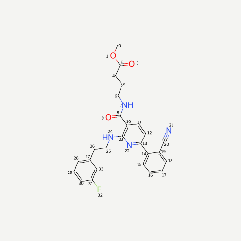 COC(=O)CCCNC(=O)c1ccc(-c2ccccc2C#N)nc1NCCc1cccc(F)c1